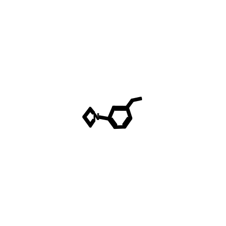 CCc1cccc(N2CCC2)c1